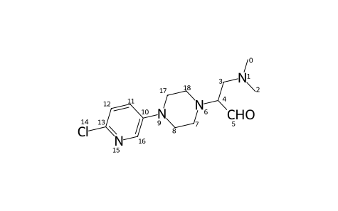 CN(C)CC(C=O)N1CCN(c2ccc(Cl)nc2)CC1